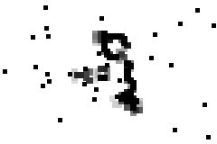 Cl.Cl.O=[SH](=O)CCCN1CCNCC1